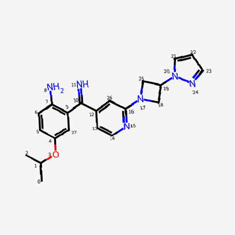 CC(C)Oc1ccc(N)c(C(=N)c2ccnc(N3CC(n4cccn4)C3)c2)c1